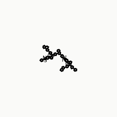 c1ccc(-c2ccc(N(c3ccc(-c4ccc5ccccc5c4)cc3)c3cccc4c3oc3cc5nc(-c6ccc(-c7cc(-c8ccc(N(c9ccc(-c%10ccc%11c(ccc%12ccccc%12%11)c%10)cc9)c9cccc%10c9oc9cc%11nc(-c%12ccccc%12)sc%11cc9%10)cc8)c8ccccc8c7)cc6)sc5cc34)cc2)cc1